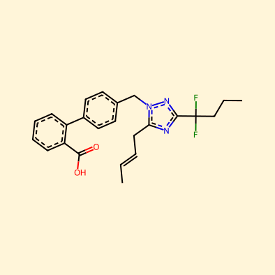 CC=CCc1nc(C(F)(F)CCC)nn1Cc1ccc(-c2ccccc2C(=O)O)cc1